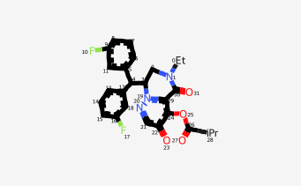 CCN1CC(C(c2cccc(F)c2)c2cccc(F)c2)n2ncc(=O)c(OC(=O)C(C)C)c2C1=O